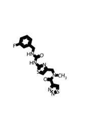 CN(Cc1csc(NC(=O)NCc2cccc(F)c2)n1)C(=O)c1csnn1